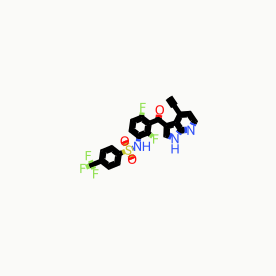 C#Cc1ccnc2[nH]cc(C(=O)c3c(F)ccc(NS(=O)(=O)c4ccc(C(F)(F)F)cc4)c3F)c12